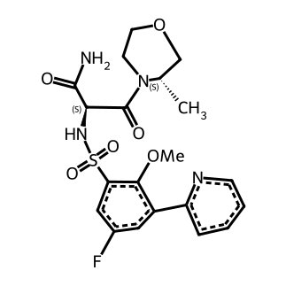 COc1c(-c2ccccn2)cc(F)cc1S(=O)(=O)N[C@@H](C(N)=O)C(=O)N1CCOC[C@@H]1C